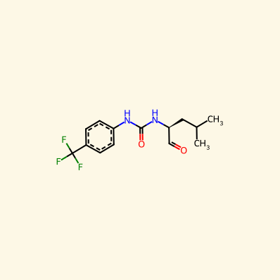 CC(C)C[C@@H](C=O)NC(=O)Nc1ccc(C(F)(F)F)cc1